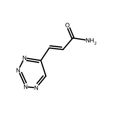 NC(=O)C=Cc1cnnnn1